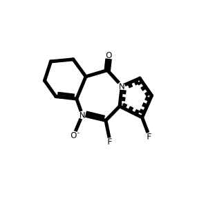 O=C1C2CCCC=C2[N+]([O-])=C(F)c2c(F)ccn21